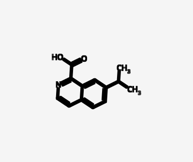 CC(C)c1ccc2ccnc(C(=O)O)c2c1